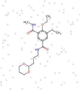 CCOc1c(CC)cc(C(=O)NCCCC2OCCCO2)cc1C(=O)NC